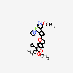 COC(=O)[C@@H](C)[C@H](c1ccc2c(c1)OC(c1ccc(-c3cc(OC)ncc3F)c(CN3CCCC3)c1)CC2)C1CCC1